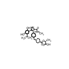 CCNC(=O)c1nnc(-c2cc(C(C)C)c(O)cc2O)n1-c1ccc(CN2CCN(C(=O)O[C@@H](C)C(=O)O)CC2)cc1